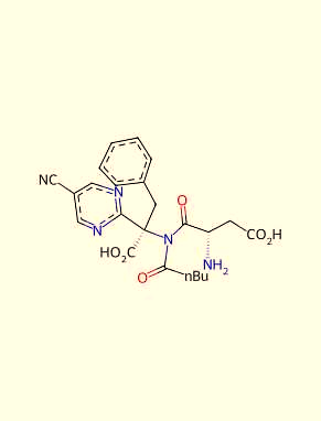 CCCCC(=O)N(C(=O)[C@@H](N)CC(=O)O)[C@@](Cc1ccccc1)(C(=O)O)c1ncc(C#N)cn1